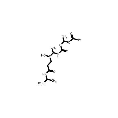 CC(OC(=O)NC(C)P(O)CCC(=O)NC(C)C(=O)O)OC(=O)C(C)C